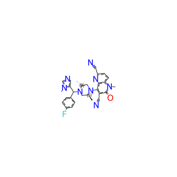 C[C@@H]1CN(c2c(C#N)c(=O)n(C)c3ccc(C#N)nc23)[C@@H](C)CN1C(c1ccc(F)cc1)c1cncn1C